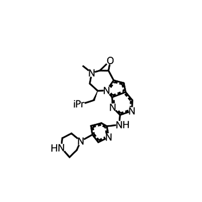 CC(C)C[C@H]1CN(C)C2OC2c2cc3cnc(Nc4ccc(N5CCNCC5)cn4)nc3n21